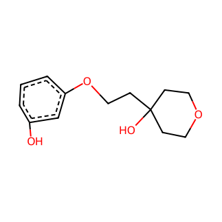 Oc1cccc(OCCC2(O)CCOCC2)c1